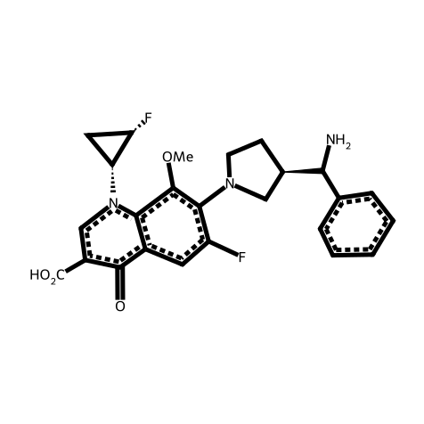 COc1c(N2CC[C@@H](C(N)c3ccccc3)C2)c(F)cc2c(=O)c(C(=O)O)cn([C@@H]3C[C@@H]3F)c12